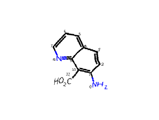 Nc1ccc2cccnc2c1C(=O)O